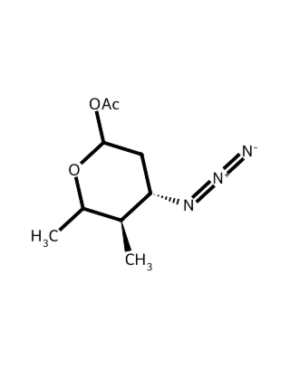 CC(=O)OC1C[C@H](N=[N+]=[N-])[C@@H](C)C(C)O1